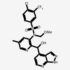 COCN(c1cc(C)cnc1C(O)c1ccnc2[nH]ncc12)S(=O)(=O)c1ccc(Cl)c(C(F)(F)F)c1